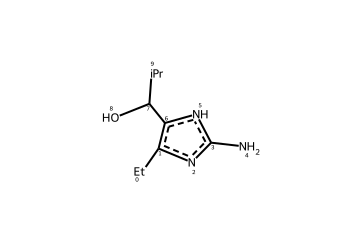 CCc1nc(N)[nH]c1C(O)C(C)C